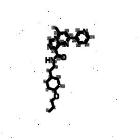 CCCOC1CCC(CCNC(=O)c2ncn3c(C)cc(-c4cccnc4)nc23)CC1